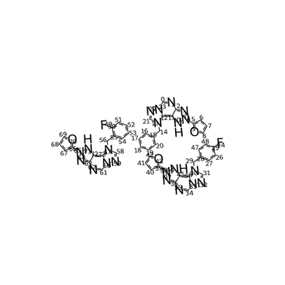 C1=NC2=NN(c3ccco3)NC2=C2N(Cc3ccccc3)C=NN12.Fc1ccc(CN2C=NN3C=NC4=NN(c5ccco5)NC4=C23)cc1.Fc1ccccc1CN1C=NN2C=NC3=NN(c4ccco4)NC3=C12